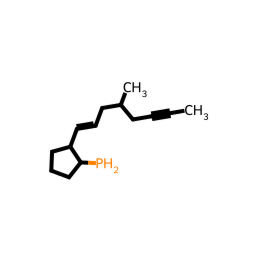 CC#CCC(C)C/C=C/C1CCCC1P